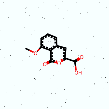 COc1cccc2cc(C(=O)O)oc(=O)c12